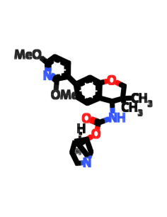 COc1ccc(-c2ccc3c(c2)OCC(C)(C)C3NC(=O)O[C@H]2CN3CCC2CC3)c(OC)n1